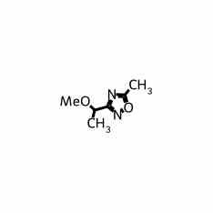 COC(C)c1noc(C)n1